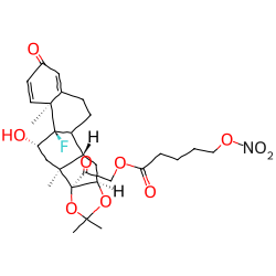 CC1(C)O[C@@H]2C[C@H]3C4CCC5=CC(=O)C=C[C@]5(C)[C@@]4(F)[C@@H](O)C[C@]3(C)[C@]2(C(=O)COC(=O)CCCCO[N+](=O)[O-])O1